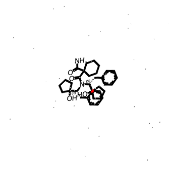 NC(=O)C1(C(=O)N([C@H](Cc2ccccc2)C2(O)CCCC2)[C@H](Cc2ccccc2)C2(O)CCCC2)CCCCC1